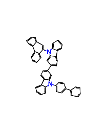 c1ccc(-c2ccc(-n3c4ccccc4c4ccc(-c5ccc6c7ccccc7n(-c7cc8ccccc8c8ccccc78)c6c5)cc43)cc2)cc1